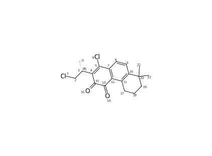 C[C@@H](CCl)C1=C(Cl)c2ccc3c(c2C(=O)C1=O)CCCC3(C)C